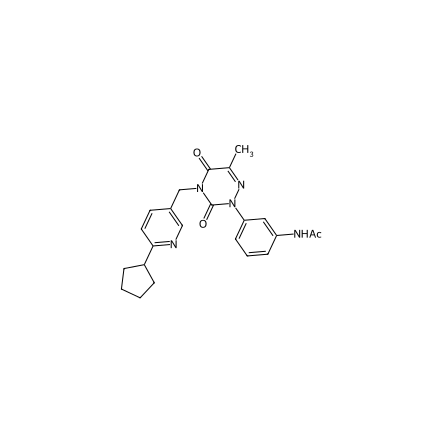 CC(=O)Nc1cccc(-n2nc(C)c(=O)n(Cc3ccc(C4CCCC4)nc3)c2=O)c1